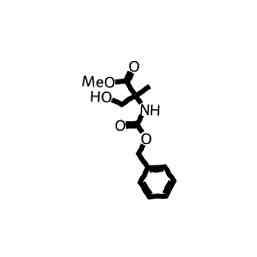 COC(=O)C(C)(CO)NC(=O)OCc1ccccc1